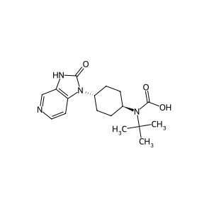 CC(C)(C)N(C(=O)O)[C@H]1CC[C@H](n2c(=O)[nH]c3cnccc32)CC1